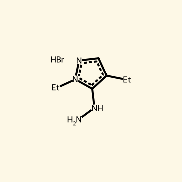 Br.CCc1cnn(CC)c1NN